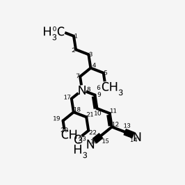 CCCCC(CC)CN(C=CC=C(C#N)C#N)CC(CC)CCC